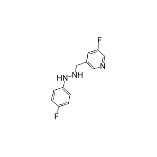 Fc1ccc(NNCc2cncc(F)c2)cc1